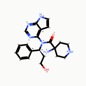 NC1(C(=O)N(c2ncnc3[nH]ccc23)[C@@H](CCO)c2ccccc2)CCNCC1